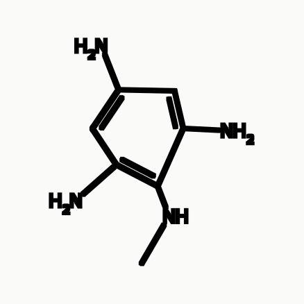 CNc1c(N)cc(N)cc1N